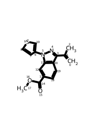 C=C(C)c1nn(-c2ccsc2)c2cc(C(=O)OC)ccc12